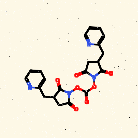 O=C(ON1C(=O)CC(Cc2ccccn2)C1=O)ON1C(=O)CC(Cc2ccccn2)C1=O